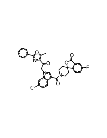 Cc1oc(-c2ccccc2)nc1C(=O)Cn1cc(C(=O)N2CCC3(CC2)OC(=O)c2cc(F)ccc23)c2ccc(Cl)cc21